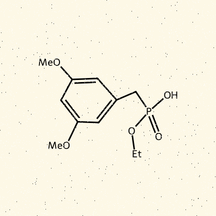 CCOP(=O)(O)Cc1cc(OC)cc(OC)c1